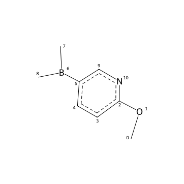 COc1ccc(B(C)C)cn1